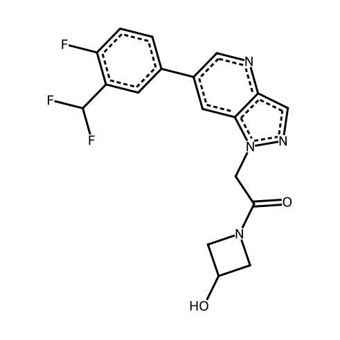 O=C(Cn1ncc2ncc(-c3ccc(F)c(C(F)F)c3)cc21)N1CC(O)C1